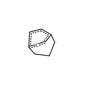 [CH]1C[CH]c2ccc1cc2